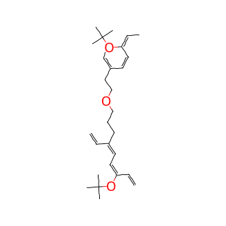 C=C/C(=C\C=C(/C=C)OC(C)(C)C)CCCOCCC(/C=C\C(=C/C)OC(C)(C)C)=C/C